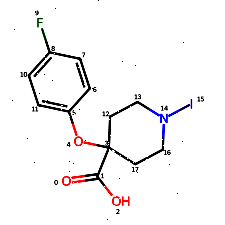 O=C(O)C1(Oc2ccc(F)cc2)CCN(I)CC1